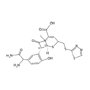 C[N+]12C(=O)[C@@H](c3cc(C(N)C(N)=O)ccc3O)[C@@H]1SC(CSc1nncs1)C=C2C(=O)O